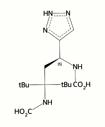 CC(C)(C)C(C[C@H](NC(=O)O)c1cn[nH]n1)(NC(=O)O)C(C)(C)C